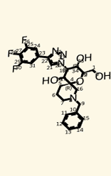 OC[C@H]1O[C@@]2(CCCN(Cc3ccccc3)C2)C(O)[C@@H](n2cc(-c3cc(F)c(F)c(F)c3)nn2)[C@H]1O